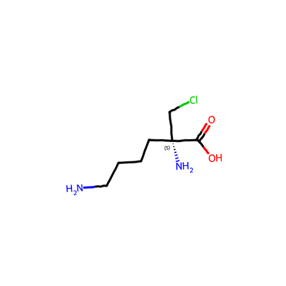 NCCCC[C@@](N)(CCl)C(=O)O